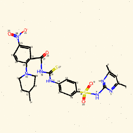 Cc1cc(C)nc(NS(=O)(=O)c2ccc(NC(=S)NC(=O)c3cc([N+](=O)[O-])ccc3N3CCC(C)CC3)cc2)n1